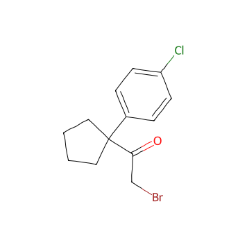 O=C(CBr)C1(c2ccc(Cl)cc2)CCCC1